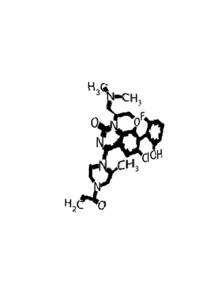 C=CC(=O)N1CCN(c2nc(=O)n3c4c(c(-c5c(O)cccc5F)c(Cl)cc24)OC[C@@H]3CN(C)C)[C@@H](C)C1